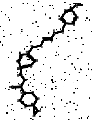 COc1ccc(CON=CCCc2ccc(OCC(=O)N3CCC4(CC3)CC4)cc2)cc1